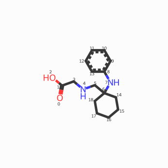 O=C(O)CNCC1(Nc2ccccc2)CCCCC1